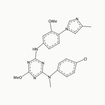 COc1nc(Nc2ccc(-n3cnc(C)c3)c(OC)c2)nc(N(C)c2ccc(Cl)cc2)n1